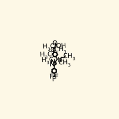 CCCN(C)C(c1ccc(OC(C)(C)C(=O)O)c(C)c1)c1cc(-c2ccc(C(F)(F)F)cc2)nn1C